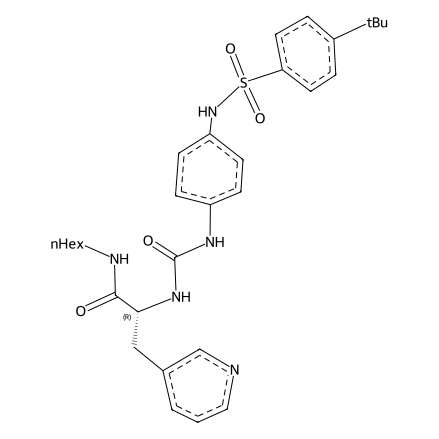 CCCCCCNC(=O)[C@@H](Cc1cccnc1)NC(=O)Nc1ccc(NS(=O)(=O)c2ccc(C(C)(C)C)cc2)cc1